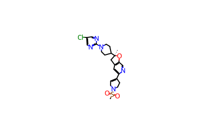 C[C@@]1(C2CCN(c3ncc(Cl)cn3)CC2)Cc2cc(C3=CCN(S(C)(=O)=O)CC3)ncc2O1